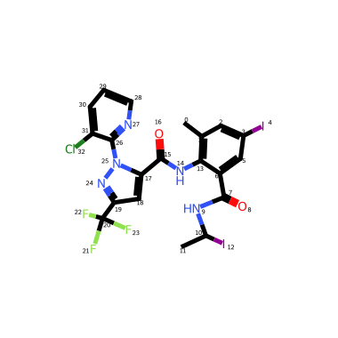 Cc1cc(I)cc(C(=O)NC(C)I)c1NC(=O)c1cc(C(F)(F)F)nn1-c1ncccc1Cl